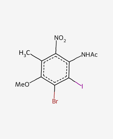 COc1c(C)c([N+](=O)[O-])c(NC(C)=O)c(I)c1Br